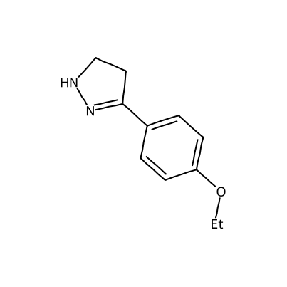 CCOc1ccc(C2=NNCC2)cc1